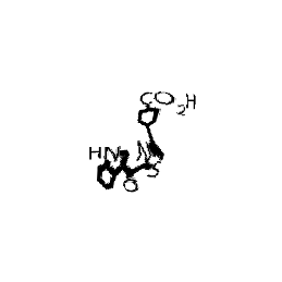 O=C(c1nc(C2CCC(C(=O)O)CC2)cs1)c1c[nH]c2ccccc12